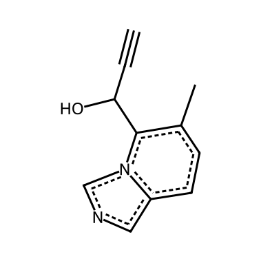 C#CC(O)c1c(C)ccc2cncn12